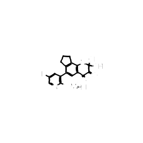 COc1ncc(F)cc1-c1cc2c(c3c1CCC3)NC(C)(C)C(=O)C2(C)C